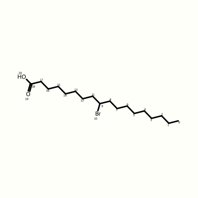 CCCCCCCCCC(Br)CCCCCCCC(=O)O